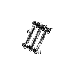 O=C(O)CCCCCCCCCCCCCCCCCc1ccccc1C(=O)[O-].O=C(O)CCCCCCCCCCCCCCCCCc1ccccc1C(=O)[O-].O=C(O)CCCCCCCCCCCCCCCCCc1ccccc1C(=O)[O-].[Al+3]